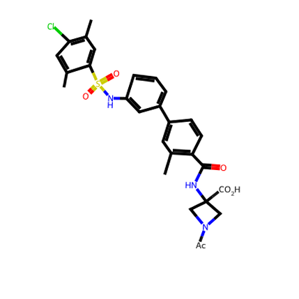 CC(=O)N1CC(NC(=O)c2ccc(-c3cccc(NS(=O)(=O)c4cc(C)c(Cl)cc4C)c3)cc2C)(C(=O)O)C1